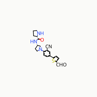 N#Cc1cc(-c2ccc(C=O)s2)ccc1N1CC[C@H](NC(=O)[C@@H]2CCCN2)C1